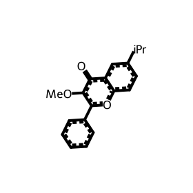 COc1c(-c2ccccc2)oc2ccc(C(C)C)cc2c1=O